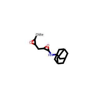 COC1OC1CC1OC1NC12CC3CC(CC(C3)C1)C2